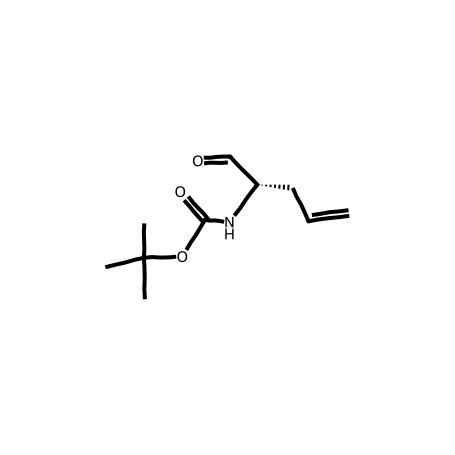 C=CC[C@@H](C=O)NC(=O)OC(C)(C)C